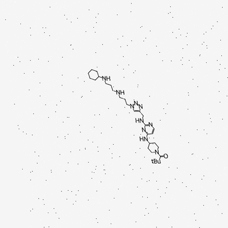 CC(C)(C)C(=O)N1CCC(Nc2ccnc(NCc3cn(CCCNCCCNC4CCCCC4)nn3)n2)CC1